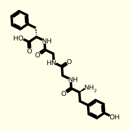 N[C@@H](Cc1ccc(O)cc1)C(=O)NCC(=O)NCC(=O)N[C@@H](Cc1ccccc1)C(=O)O